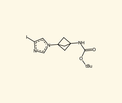 CC(C)(C)OC(=O)NC12CC(n3cnc(I)c3)(C1)C2